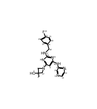 CC1(O)CN(c2cc(Nc3cnccn3)nc(NCc3ccc(F)cc3)n2)C1